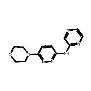 c1cnc(Nc2ccc(N3CCOCC3)nn2)cn1